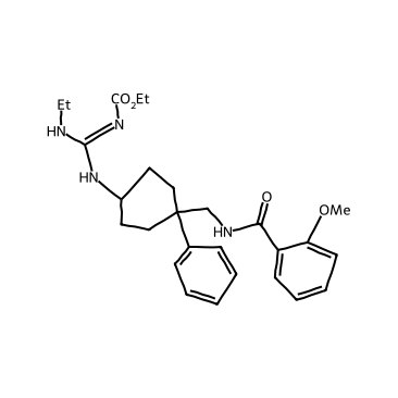 CCNC(=NC(=O)OCC)NC1CCC(CNC(=O)c2ccccc2OC)(c2ccccc2)CC1